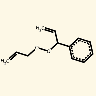 C=CCOOC(C=C)c1ccccc1